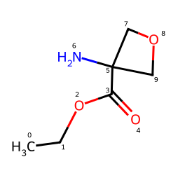 CCOC(=O)C1(N)COC1